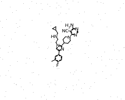 Cc1cc(-c2cn(CCNCC3CC3)c(C3CCN(c4ncnc(N)c4C#N)CC3)n2)ccc1F